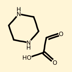 C1CNCCN1.O=CC(=O)O